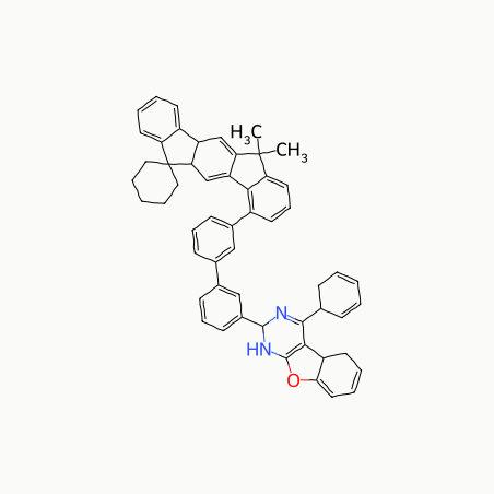 CC1(C)C2=CC3c4ccccc4C4(CCCCC4)C3C=C2c2c(-c3cccc(-c4cccc(C5N=C(C6C=CC=CC6)C6=C(N5)OC5=CC=CCC56)c4)c3)cccc21